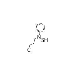 SN(CCCCl)c1ccccc1